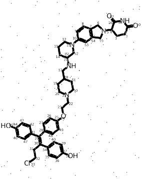 O=C1CCC(N2Cc3ccc(N4CCC[C@H](NCC5CCN(CCOc6ccc(C(=C(CCCl)c7ccc(O)cc7)c7ccc(O)cc7)cc6)CC5)C4)cc3C2)C(=O)N1